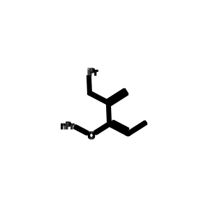 C=C(CC(C)C)/C(=C\C)OCCC